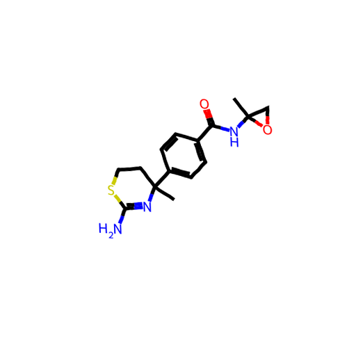 CC1(NC(=O)c2ccc(C3(C)CCSC(N)=N3)cc2)CO1